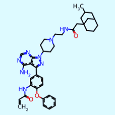 C=CC(=O)Nc1cc(-c2nn(C3CCN(CCNC(=O)CC45CCCC(CC(C)C4)C5)CC3)c3ncnc(N)c23)ccc1Oc1ccccc1